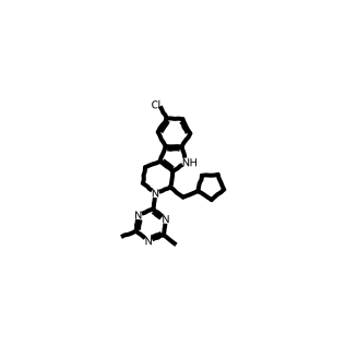 Cc1nc(C)nc(N2CCc3c([nH]c4ccc(Cl)cc34)C2CC2CCCC2)n1